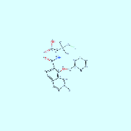 Cc1ccc2ccc(C(=O)N[C@H](C(=O)O)C(C)(C)CF)c(OCC3CCCCC3)c2c1